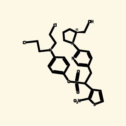 O=[N+]([O-])c1sccc1C(Cc1ccc(N2CCC[C@H]2CO)nc1)S(=O)(=O)Oc1ccc(N(CCCl)CCCl)cc1